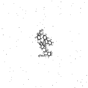 CCCCCc1ccccc1C(=O)OCCOC(=O)c1ccccc1-c1ccc(Cn2c(CCC)nc3c(C)cc(-c4nc5ccccc5n4C)cc32)cc1